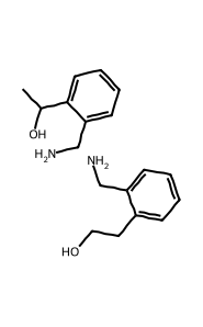 CC(O)c1ccccc1CN.NCc1ccccc1CCO